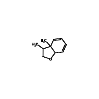 CC1[C]OC2C=CC=CC12C